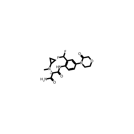 CN(C1CC1)[C@@H](C(N)=O)C(=O)Nc1ccc(N2CCOCC2=O)cc1C(F)F